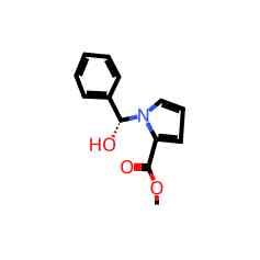 COC(=O)c1cccn1[C@H](O)c1ccccc1